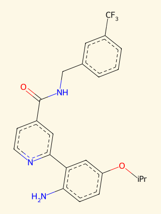 CC(C)Oc1ccc(N)c(-c2cc(C(=O)NCc3cccc(C(F)(F)F)c3)ccn2)c1